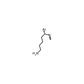 C=N[C@@H](CCCCN)C(C)=O